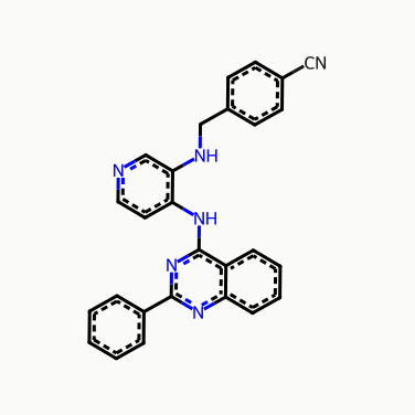 N#Cc1ccc(CNc2cnccc2Nc2nc(-c3ccccc3)nc3ccccc23)cc1